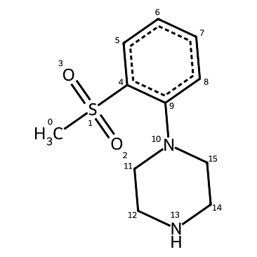 CS(=O)(=O)c1ccccc1N1CCNCC1